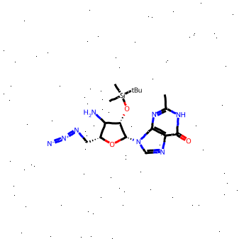 Cc1nc2c(ncn2[C@@H]2O[C@H](CN=[N+]=[N-])C(N)[C@@H]2O[Si](C)(C)C(C)(C)C)c(=O)[nH]1